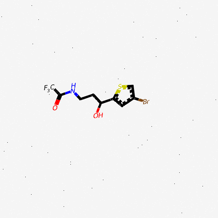 O=C(NCCC(O)c1cc(Br)cs1)C(F)(F)F